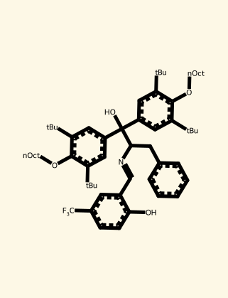 CCCCCCCCOc1c(C(C)(C)C)cc(C(O)(c2cc(C(C)(C)C)c(OCCCCCCCC)c(C(C)(C)C)c2)C(Cc2ccccc2)N=Cc2cc(C(F)(F)F)ccc2O)cc1C(C)(C)C